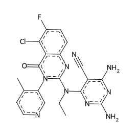 CCN(c1nc(N)nc(N)c1C#N)c1nc2ccc(F)c(Cl)c2c(=O)n1-c1cnccc1C